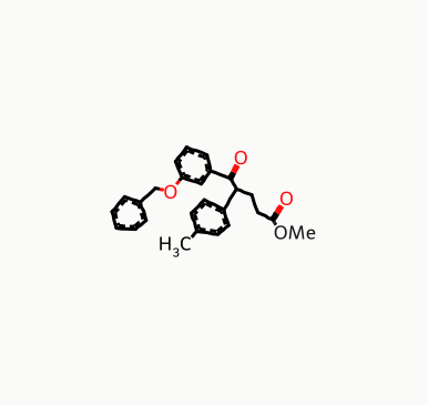 COC(=O)CCC(C(=O)c1cccc(OCc2ccccc2)c1)c1ccc(C)cc1